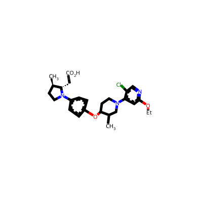 CCOc1cc(N2CCC(Oc3ccc(N4CC[C@@H](C)[C@@H]4CC(=O)O)cc3)C(C)C2)c(Cl)cn1